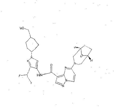 O=C(Nc1cn(C2CCC(CO)CC2)nc1C(F)F)c1cnn2ccc(N3C[C@H]4CC[C@@H](C3)O4)nc12